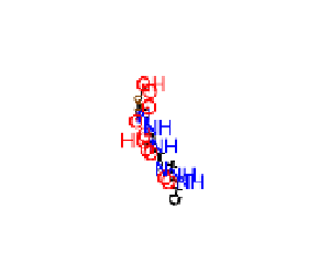 CN[C@H](C(=O)NC(C(=O)N(C)C/C=C(\C)C(=O)NC(CC(=O)NCCN1C(=O)CC(SCCC(=O)O)C1=O)C(=O)O)C(C)(C)C)C(C)(C)c1ccccc1